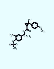 Cc1cc([C@@H](C)NC(=O)C2CC2(C)c2ccc(SC(F)(F)F)cc2)ccc1NS(C)(=O)=O